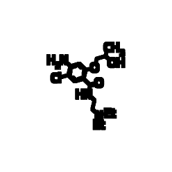 CCN(CC)CCNC(=O)c1cc(Cl)c(N)cc1OCC(C)O